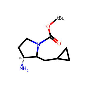 CC(C)(C)OC(=O)N1CC[C@@H](N)C1CC1CC1